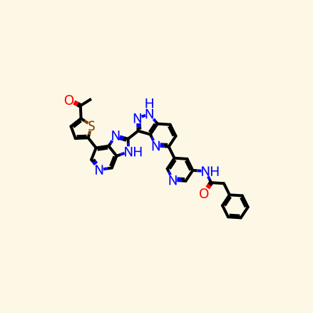 CC(=O)c1ccc(-c2cncc3[nH]c(-c4n[nH]c5ccc(-c6cncc(NC(=O)Cc7ccccc7)c6)nc45)nc23)s1